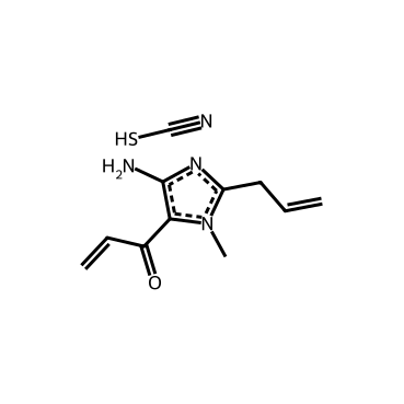 C=CCc1nc(N)c(C(=O)C=C)n1C.N#CS